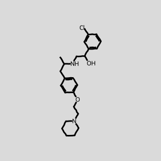 CC(Cc1ccc(OCCN2CCCCC2)cc1)NCC(O)c1cccc(Cl)c1